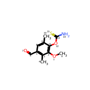 COc1c(C)c(C=O)cc(C)c1OC(N)=S